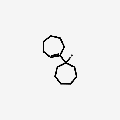 C[CH]C1(C2=CCCCCC2)CCCCCC1